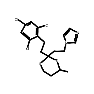 CC1CCSC(CCc2c(Cl)cc(Cl)cc2Cl)(CCn2ccnc2)S1